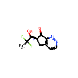 O=C1/C(=C(\O)C(F)(F)C(F)(F)F)Cc2ccnnc21